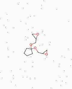 C1CCC(OCC2CO2)(OCC2CO2)C1